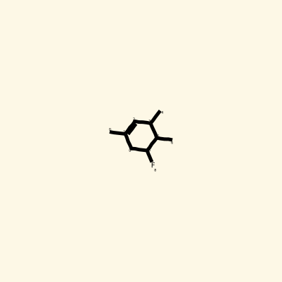 CC1=CC(C)C(C)C(F)C1